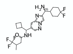 CC(CC(=O)NC(c1cnn2cc([C@@H](N)C3CCC(F)(F)CC3)nc2c1)C1CCC1)C(F)(F)F